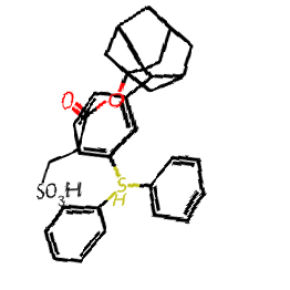 O=C(CCS(=O)(=O)O)OC12CC3CC(C1)C(c1cccc([SH](c4ccccc4)c4ccccc4)c1)C(C3)C2